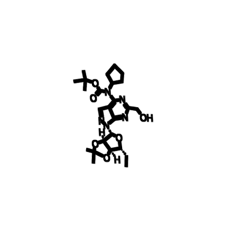 CC[C@H]1O[C@@H](n2ncc3c(N(C(=O)OC(C)(C)C)C4CCCC4)nc(CO)nc32)[C@@H]2OC(C)(C)O[C@@H]21